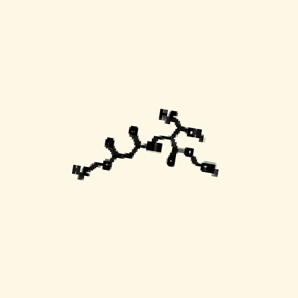 CCOC(=O)CC(=O)NCC(C(=O)OCC)C(C)C